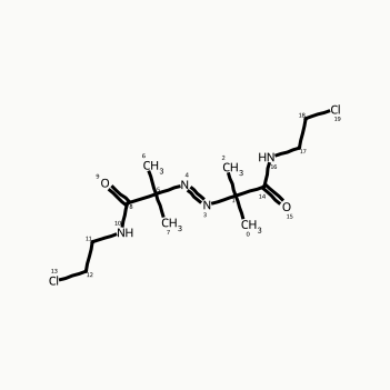 CC(C)(N=NC(C)(C)C(=O)NCCCl)C(=O)NCCCl